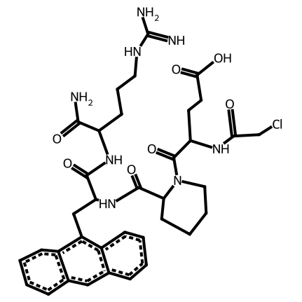 N=C(N)NCCCC(NC(=O)C(Cc1c2ccccc2cc2ccccc12)NC(=O)C1CCCCN1C(=O)C(CCC(=O)O)NC(=O)CCl)C(N)=O